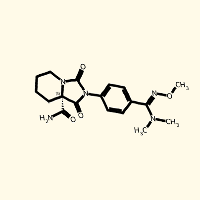 CON=C(c1ccc(N2C(=O)N3CCC[CH][C@]3(C(N)=O)C2=O)cc1)N(C)C